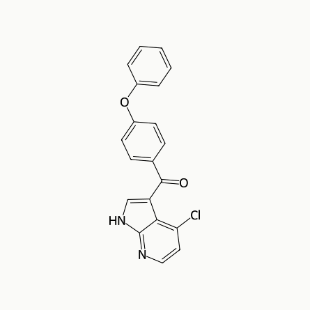 O=C(c1ccc(Oc2ccccc2)cc1)c1c[nH]c2nccc(Cl)c12